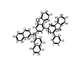 c1ccc(-c2nc(-c3cc(N(c4ccc5ccccc5c4)c4ccc5ccccc5c4)cc4oc5ccccc5c34)nc3c2sc2ccccc23)cc1